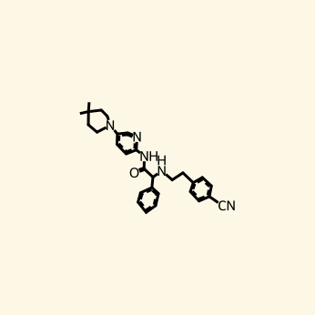 CC1(C)CCN(c2ccc(NC(=O)C(NCCc3ccc(C#N)cc3)c3ccccc3)nc2)CC1